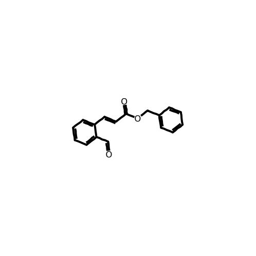 O=Cc1ccccc1/C=C/C(=O)OCc1ccccc1